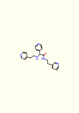 O=C(NCCc1cccnc1)C(NCCc1ccncc1)c1ccncc1